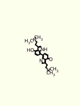 CN(C)CCC1=C2C(=O)C=CC(c3ccc(O)c4c(CCN(C)C)c[nH]c34)=C2N=C1